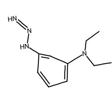 CCN(CC)c1cccc(NN=N)c1